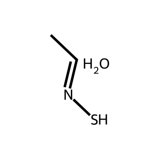 CC=NS.O